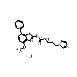 COc1ccc(-c2ccccc2)c2sc(NC(=O)NCCCn3ccnc3)nc12.Cl